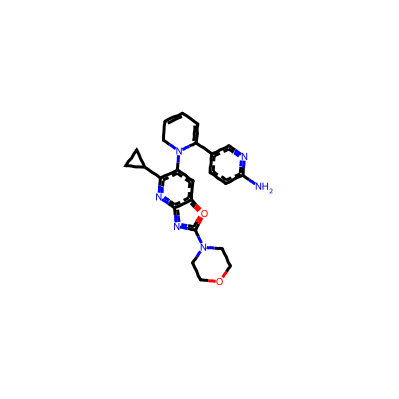 Nc1ccc(C2=CC=CCN2c2cc3oc(N4CCOCC4)nc3nc2C2CC2)cn1